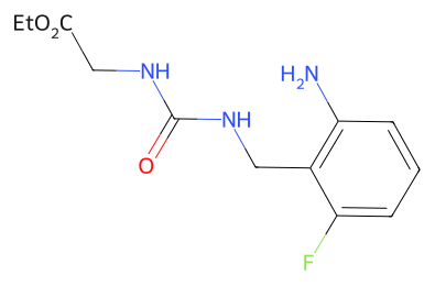 CCOC(=O)CNC(=O)NCc1c(N)cccc1F